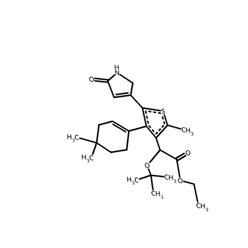 CCOC(=O)C(OC(C)(C)C)c1c(C)sc(C2=CC(=O)NC2)c1C1=CCC(C)(C)CC1